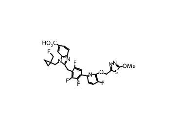 COc1nnc(COc2nc(-c3cc(F)c(Cc4nc5ccc(C(=O)O)cc5n4CC4(CF)CC4)c(F)c3F)ccc2F)s1